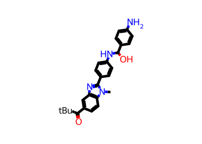 Cn1c(-c2ccc(NC(O)c3ccc(N)cc3)cc2)nc2cc(C(=O)C(C)(C)C)ccc21